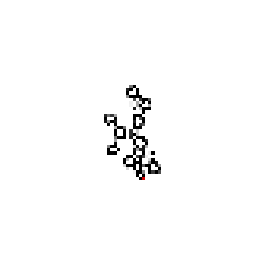 c1ccc(-c2cc(-c3ccccc3)cc(N(c3ccc(-c4cccc5c4oc4ccccc45)cc3)c3ccc4c5c(sc4c3)C3(c4ccccc4O5)c4ccccc4-c4ccccc43)c2)cc1